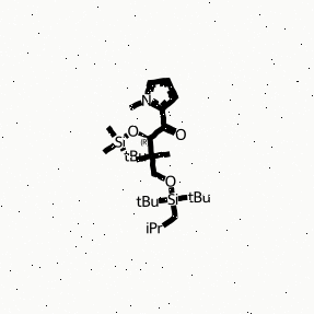 CC(C)C[Si](OCC(C)(C)[C@@H](O[Si](C)(C)C(C)(C)C)C(=O)c1cccn1C)(C(C)(C)C)C(C)(C)C